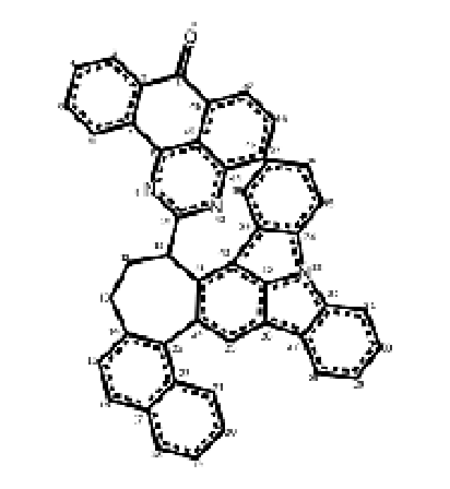 O=C1c2ccccc2-c2nc(C3CCc4ccc5ccccc5c4-c4cc5c6ccccc6n6c7ccccc7c(c43)c56)nc3cccc1c23